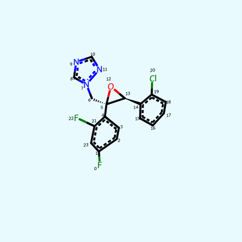 Fc1ccc([C@@]2(Cn3[c]ncn3)O[C@H]2c2ccccc2Cl)c(F)c1